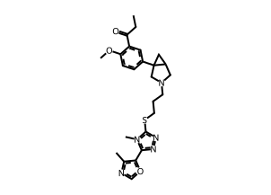 CCC(=O)c1cc(C23CC2CN(CCCSc2nnc(-c4ocnc4C)n2C)C3)ccc1OC